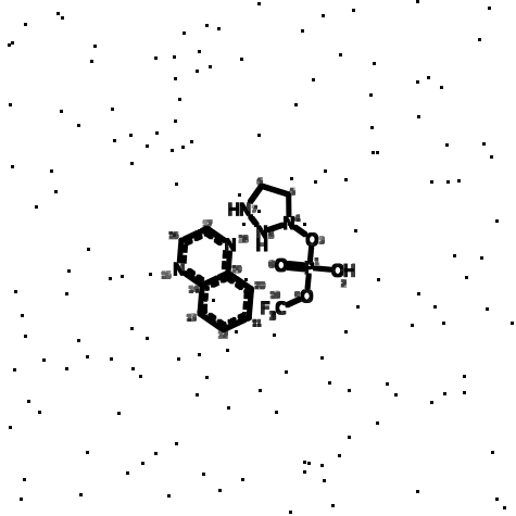 O=P(O)(ON1CCNN1)OC(F)(F)F.c1ccc2nccnc2c1